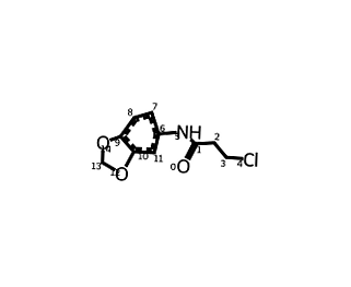 O=C(CCCl)Nc1ccc2c(c1)OCO2